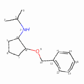 CC(C)NC1CCCC1OCc1ccccc1